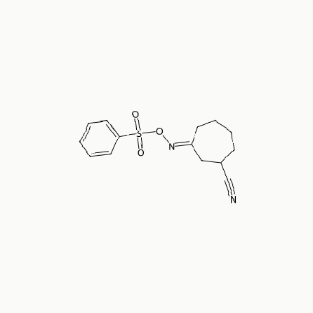 N#CC1CCCCC(=NOS(=O)(=O)c2ccccc2)C1